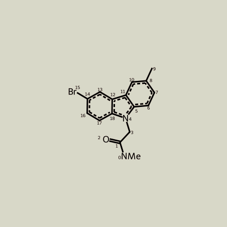 CNC(=O)Cn1c2ccc(C)cc2c2cc(Br)ccc21